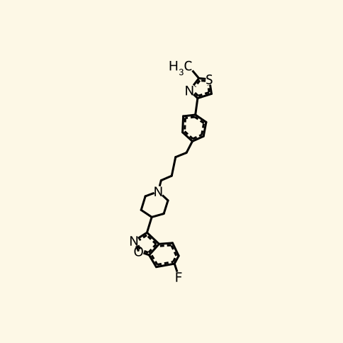 Cc1nc(-c2ccc(CCCCN3CCC(c4noc5cc(F)ccc45)CC3)cc2)cs1